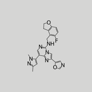 Cc1cc(-c2cnc(NCc3c(F)ccc4c3CCO4)n3cc(-c4cnco4)nc23)n(C)n1